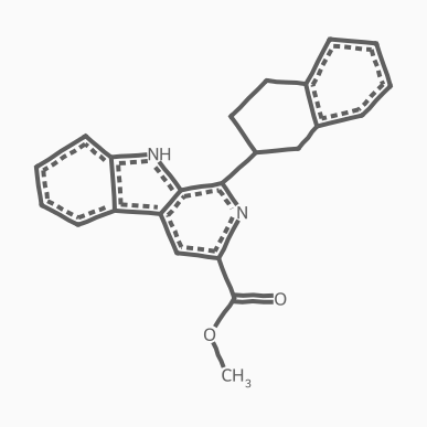 COC(=O)c1cc2c([nH]c3ccccc32)c(C2CCc3ccccc3C2)n1